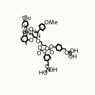 COc1ccc(-c2nc(NS(=O)(=O)c3ccc(C(C)(C)C)cn3)c(Oc3ccccc3C)c(OCC(COC(=O)Oc3ccc(CON(O)O)cc3)OC(=O)Oc3ccc(CON(O)O)cc3)n2)cc1